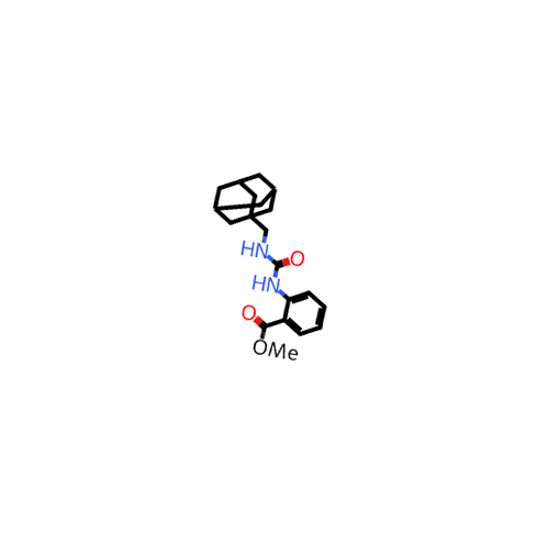 COC(=O)c1ccccc1NC(=O)NCC12CC3CC(CC(C3)C1)C2